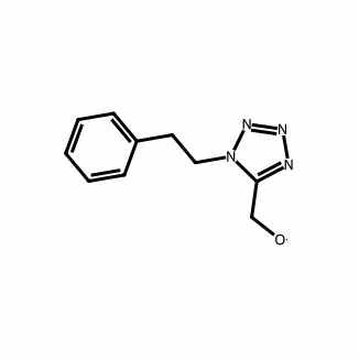 [O]Cc1nnnn1CCc1ccccc1